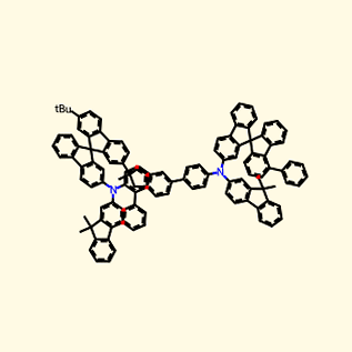 CC(C)(C)c1ccc2c(c1)C1(c3ccccc3-c3ccc(N(c4ccc5c(c4)C(C)(C)c4ccccc4-5)c4ccccc4-c4ccccc4)cc31)c1cc(C3(C)Cc4ccc(-c5ccc(N(c6ccc7c(c6)C(C)(C)c6ccccc6-7)c6ccc7c(c6)C6(c8ccccc8-7)c7ccccc7-c7c(-c8ccccc8)cccc76)cc5)cc4C3)ccc1-2